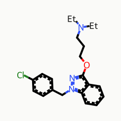 CCN(CC)CCCOc1nn(Cc2ccc(Cl)cc2)c2ccccc12